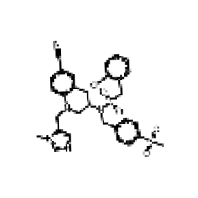 Cn1cncc1CN1CC(N(Cc2ccc(S(C)(=O)=O)cc2)S(=O)(=O)Cc2ccccc2Cl)Cc2cc(C#N)ccc21